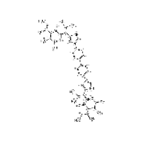 CO[C@H](C)[C@@H](C(=O)N[C@H](c1nc(-c2ccc(-c3ccc(-c4c[nH]c([C@@H](NC(=O)[C@H]([C@@H](C)OC)N(C)C(=O)O)C(C)C)n4)cc3)cc2)c[nH]1)C(C)C)N(C)C(=O)O